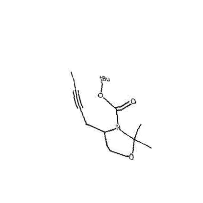 CC#CCC1COC(C)(C)N1C(=O)OC(C)(C)C